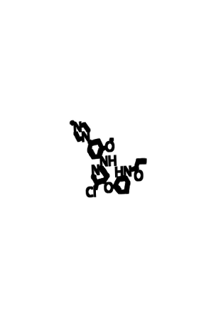 C=CC(=O)Nc1cccc(Oc2cc(Nc3ccc(N4CCN(C)CC4)cc3OC)ncc2Cl)c1